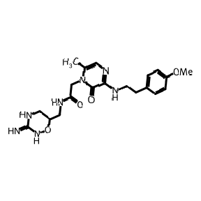 COc1ccc(CCNc2ncc(C)n(CC(=O)NCC3CNC(=N)NO3)c2=O)cc1